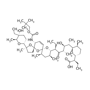 CC[C@@H](C(=O)[C@@H](C)[C@@H](O)[C@H](C)[C@@H]1O[C@@H]([C@@H](CC)C(=O)O)CC[C@@H]1C)[C@H]1O[C@]2(C=C[C@@H](NC(=O)OCC(C)(C)C)[C@]3(CC[C@@](C)([C@H]4CC[C@](O)(CC)[C@H](C)O4)O3)O2)[C@H](C)C[C@@H]1C